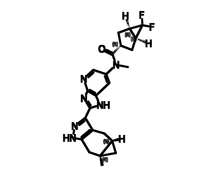 CN(C(=O)[C@@H]1C[C@@H]2[C@H](C1)C2(F)F)c1cnc2nc(-c3n[nH]c4c3C[C@@H]3C[C@]3(C)C4)[nH]c2c1